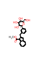 COC(=O)c1c(Cc2cccc([C@@H]3O[C@H](CO)[C@@H](O)[C@H](O)[C@H]3O)c2)cc2cccccc1-2